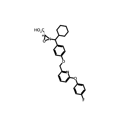 O=C(O)[C@H]1ON1C(c1ccc(OCc2cccc(Oc3ccc(F)cc3)n2)cc1)C1CCCCC1